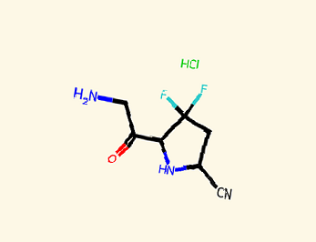 Cl.N#CC1CC(F)(F)C(C(=O)CN)N1